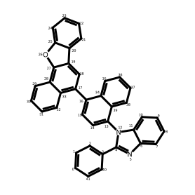 c1ccc(-c2nc3ccccc3n2-c2ccc(-c3cc4c5ccccc5oc4c4ccccc34)c3ccccc23)cc1